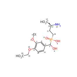 CCOc1cc(C(O)P(=O)(O)CC[C@H](N)C(=O)O)ccc1OCC(=O)O